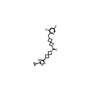 O=C(N1CC2(CC(Cc3ncc(F)cc3F)C2)C1)N1CC2(CC(c3nnc(C4CC4)[nH]3)C2)C1